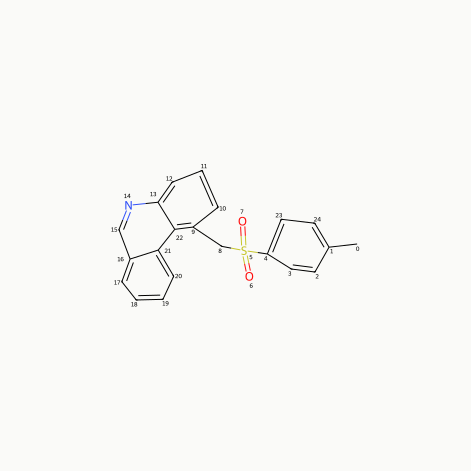 Cc1ccc(S(=O)(=O)Cc2cccc3ncc4ccccc4c23)cc1